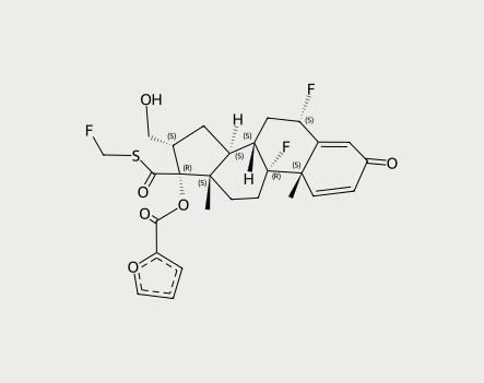 C[C@]12C=CC(=O)C=C1[C@@H](F)C[C@H]1[C@@H]3C[C@@H](CO)[C@](OC(=O)c4ccco4)(C(=O)SCF)[C@@]3(C)CC[C@@]12F